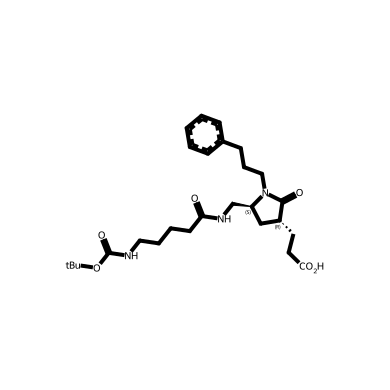 CC(C)(C)OC(=O)NCCCCC(=O)NC[C@@H]1C[C@@H](CCC(=O)O)C(=O)N1CCCc1ccccc1